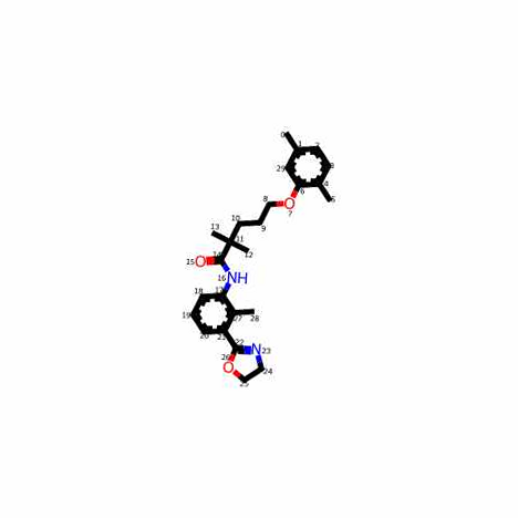 Cc1ccc(C)c(OCCCC(C)(C)C(=O)Nc2cccc(C3=NCCO3)c2C)c1